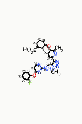 Cc1nc(-c2nnn(C)c2CNc2nccc(Oc3ccccc3F)n2)ccc1O[C@H]1CCC[C@H](C(=O)O)C1